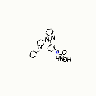 O=C(/C=C/c1cccc(-c2nc3ccccc3n2C2CCCN(Cc3ccccc3)C2)c1)NO